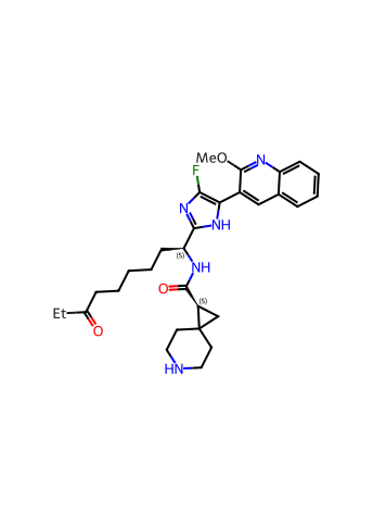 CCC(=O)CCCCC[C@H](NC(=O)[C@H]1CC12CCNCC2)c1nc(F)c(-c2cc3ccccc3nc2OC)[nH]1